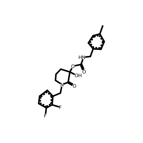 Cc1ccc(CNC(=O)OC2(O)CCCN(Cc3cccc(F)c3F)C2=O)cc1